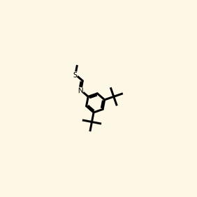 CS/C=N/c1cc(C(C)(C)C)cc(C(C)(C)C)c1